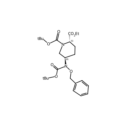 CCOC(=O)[C@@H]1CC[C@@H](N(OCc2ccccc2)C(=O)OC(C)(C)C)CN1C(=O)OC(C)(C)C